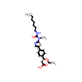 CCCCCCCNC(=O)N(C)c1ncc(-c2ccc([C@H](CC(=O)O)OCC)cc2)s1